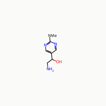 CNc1ncc(C(O)CN)cn1